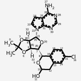 CC1(C)O[C@@H]2[C@H](O1)[C@@H](C1OC(O)Cc3cc(Cl)ccc31)O[C@H]2n1ccc2c(N)ncnc21